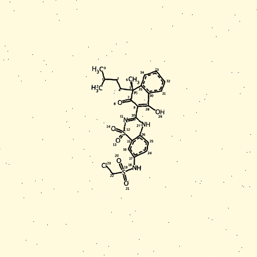 CC(C)CC[C@@]1(C)C(=O)C(C2=NS(=O)(=O)c3cc(NS(=O)(=O)CCl)ccc3N2)=C(O)c2ccccc21